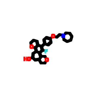 OC1=Cc2c3c(c(-c4ccc(OCCN5CCCCCC5)cc4)c(F)c2=C2COCCC2=C1)=CCCO3